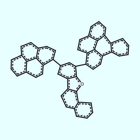 c1ccc2c(c1)ccc1c3cc(-c4ccc5ccc6cccc7ccc4c5c67)cc(-c4ccc5c6ccccc6c6cccc7ccc4c5c76)c3oc21